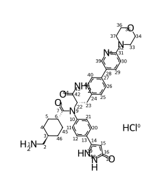 Cl.NC[C@H]1CC[C@H](C(=O)N(c2ccc(-c3cc(=O)[nH][nH]3)cc2)[C@@H](Cc2ccc(-c3ccc(N4CCOCC4)nc3)cc2)C(N)=O)CC1